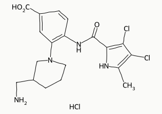 Cc1[nH]c(C(=O)Nc2ccc(C(=O)O)cc2N2CCCC(CN)C2)c(Cl)c1Cl.Cl